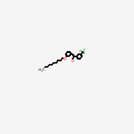 CCCCCCCCCCOc1cccc(/C=C(\C=O)c2cccc(C(F)(F)F)c2)c1